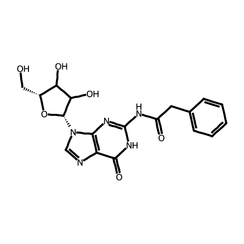 O=C(Cc1ccccc1)Nc1nc2c(ncn2[C@@H]2O[C@H](CO)C(O)C2O)c(=O)[nH]1